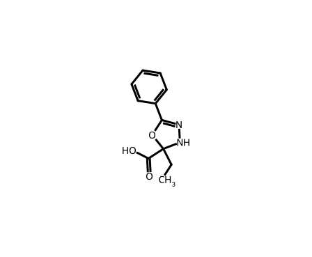 CCC1(C(=O)O)NN=C(c2ccccc2)O1